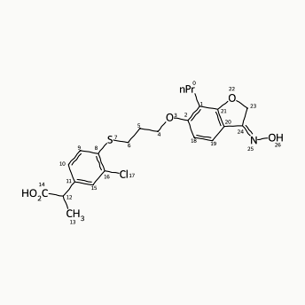 CCCc1c(OCCCSc2ccc(C(C)C(=O)O)cc2Cl)ccc2c1OCC2=NO